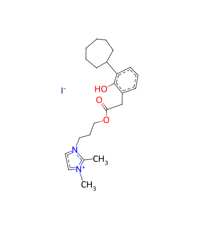 Cc1n(CCCOC(=O)Cc2cccc(C3CCCCCC3)c2O)cc[n+]1C.[I-]